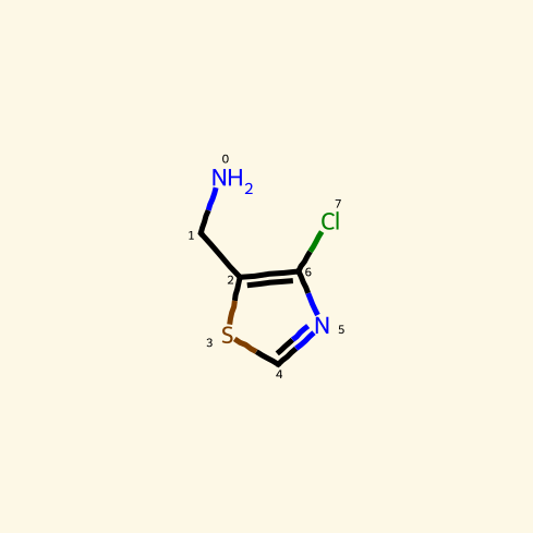 NCc1scnc1Cl